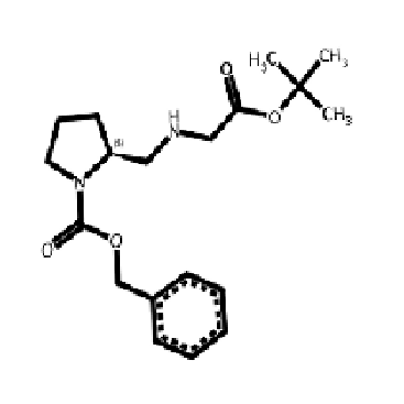 CC(C)(C)OC(=O)CNC[C@@H]1CCCN1C(=O)OCc1ccccc1